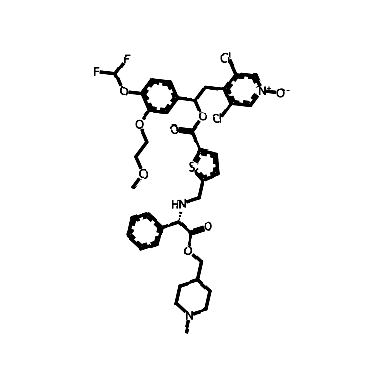 COCCOc1cc(C(Cc2c(Cl)c[n+]([O-])cc2Cl)OC(=O)c2ccc(CN[C@H](C(=O)OCC3CCN(C)CC3)c3ccccc3)s2)ccc1OC(F)F